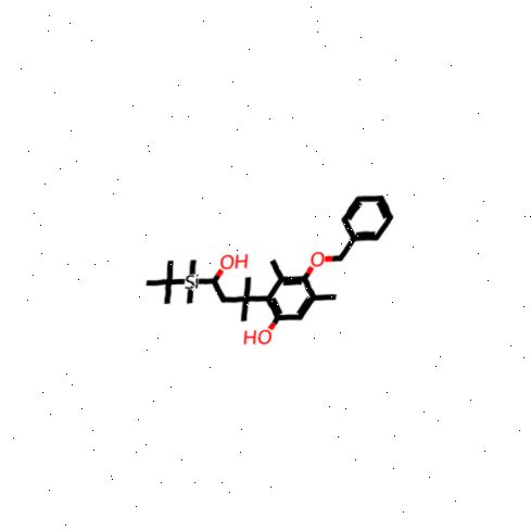 Cc1cc(O)c(C(C)(C)CC(O)[Si](C)(C)C(C)(C)C)c(C)c1OCc1ccccc1